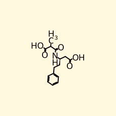 CC(C(=O)O)C(=O)N[C@H](CCc1ccccc1)CC(=O)O